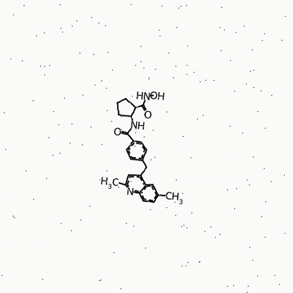 Cc1ccc2nc(C)cc(Cc3ccc(C(=O)N[C@H]4CCC[C@H]4C(=O)NO)cc3)c2c1